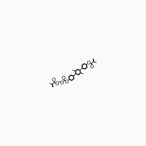 C=C(C)C(=O)OCOC(=O)Oc1ccc(-c2cc(C)c(-c3ccc(OC(=O)C(=C)C)cc3)cc2C)cc1